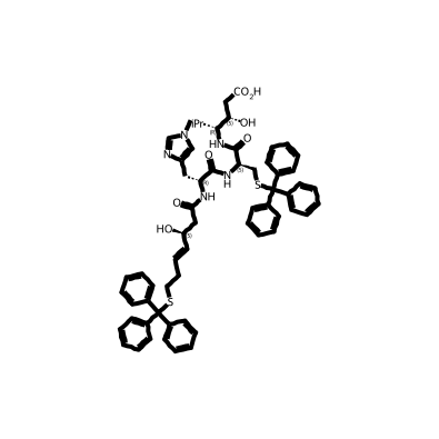 CC(C)[C@@H](NC(=O)[C@@H](CSC(c1ccccc1)(c1ccccc1)c1ccccc1)NC(=O)[C@@H](Cc1cn(C)cn1)NC(=O)C[C@H](O)C=CCCSC(c1ccccc1)(c1ccccc1)c1ccccc1)[C@@H](O)CC(=O)O